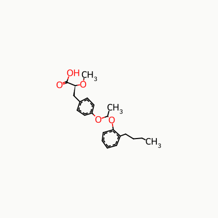 CCCCc1ccccc1OC(C)Oc1ccc(C[C@H](OC)C(=O)O)cc1